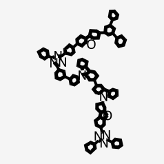 c1ccc(-c2cc(-c3ccccc3)cc(-c3ccc4c(c3)oc3cc(-c5ccc(-c6nc(-c7ccccc7)nc(-c7cccc(-c8cccc(-n9c%10ccccc%10c%10ccc(-c%11ccc%12c(c%11)c%11ccccc%11n%12-c%11ccc%12c(c%11)oc%11cc(-c%13nc(-c%14ccccc%14)nc(-c%14ccccc%14)n%13)ccc%11%12)cc%109)c8)c7)n6)cc5)ccc34)c2)cc1